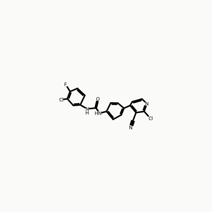 N#Cc1c(-c2ccc(NC(=O)Nc3ccc(F)c(Cl)c3)cc2)ccnc1Cl